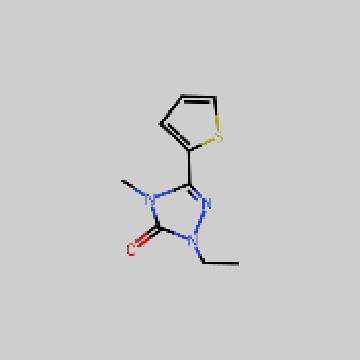 CCn1nc(-c2cccs2)n(C)c1=O